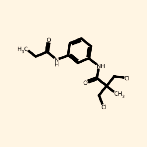 CCC(=O)Nc1cccc(NC(=O)C(C)(CCl)CCl)c1